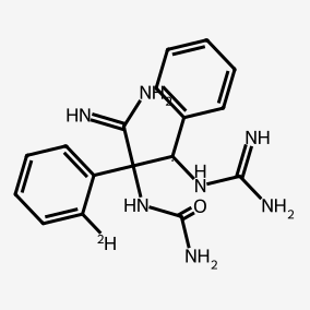 [2H]c1ccccc1C(NC(N)=O)([C](NC(=N)N)c1ccccc1)C(=N)N